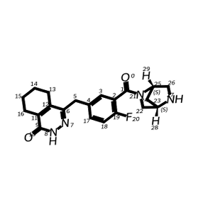 O=C(c1cc(Cc2n[nH]c(=O)c3c2CCCC3)ccc1F)N1C[C@@H]2C[C@H]1CN2